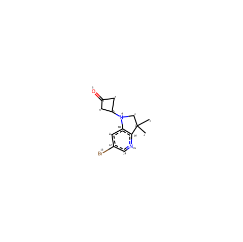 CC1(C)CN(C2CC(=O)C2)c2cc(Br)cnc21